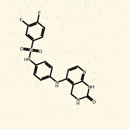 O=C1NCc2c(Nc3ccc(NS(=O)(=O)c4ccc(F)c(F)c4)cc3)ccnc2N1